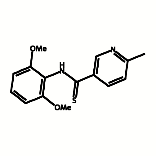 COc1cccc(OC)c1NC(=S)c1ccc(C)nc1